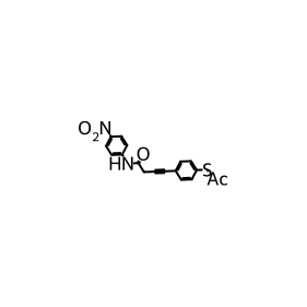 CC(=O)Sc1ccc(C#CCC(=O)Nc2ccc([N+](=O)[O-])cc2)cc1